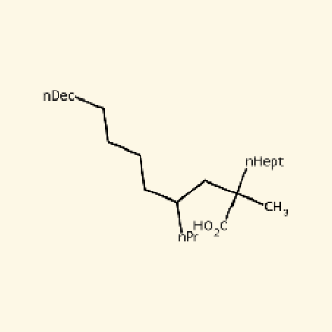 CCCCCCCCCCCCCCC(CCC)CC(C)(CCCCCCC)C(=O)O